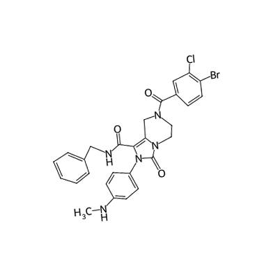 CNc1ccc(-n2c(C(=O)NCc3ccccc3)c3n(c2=O)CCN(C(=O)c2ccc(Br)c(Cl)c2)C3)cc1